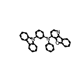 c1ccc(N(c2cccc(-n3c4ccccc4c4ccccc43)c2)c2ccnc3c2oc2ccccc23)cc1